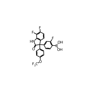 O=C1Nc2c(ccc(F)c2F)C1(c1ccc(OC(F)(F)F)cc1)c1ccc(B(O)O)c(F)c1